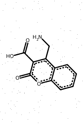 NCc1c(C(=O)O)c(=O)oc2ccccc12